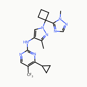 Cc1nn(C2(c3ncnn3C)CCC2)cc1Nc1ncc(C(F)(F)F)c(C2CC2)n1